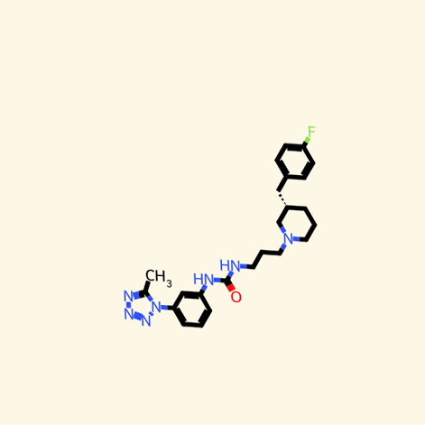 Cc1nnnn1-c1cccc(NC(=O)NCCCN2CCC[C@@H](Cc3ccc(F)cc3)C2)c1